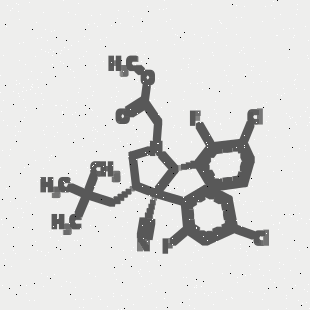 COC(=O)CN1C[C@@H](CC(C)(C)C)[C@](C#N)(c2ccc(Cl)cc2F)[C@H]1c1cccc(Cl)c1F